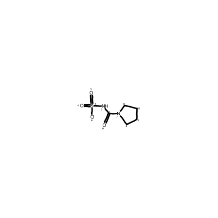 O=C(NS(=O)(=O)Cl)N1CCCC1